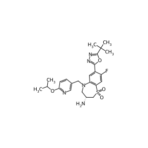 CC(C)Oc1ccc(CN2C[C@@H](N)CS(=O)(=O)c3cc(F)c(-c4nnc(C(C)(C)C)o4)cc32)cn1